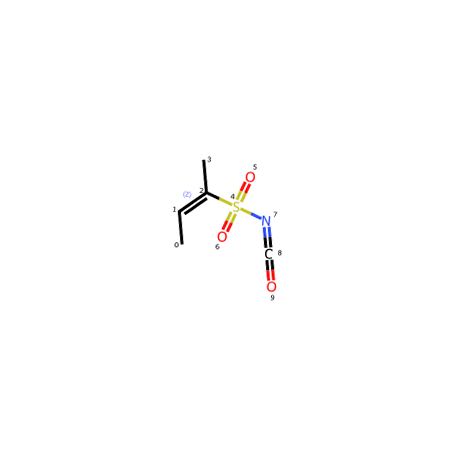 C/C=C(/C)S(=O)(=O)N=C=O